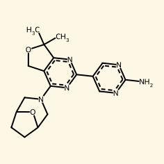 CC1(C)OCc2c(N3CC4CCC(C3)O4)nc(-c3cnc(N)nc3)nc21